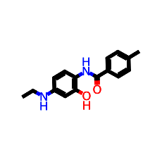 CCNc1ccc(NC(=O)c2ccc(C)cc2)c(O)c1